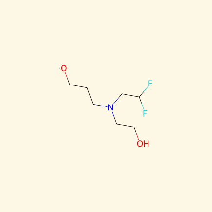 [O]CCCN(CCO)CC(F)F